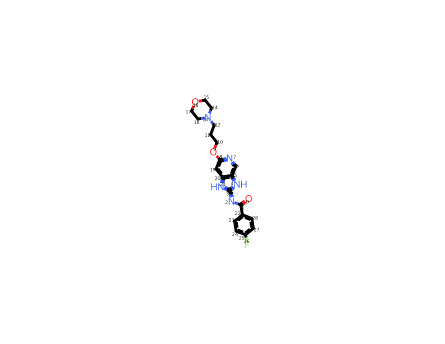 O=C(/N=c1\[nH]c2cnc(OCCCN3CCOCC3)cc2[nH]1)c1ccc(F)cc1